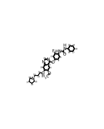 COc1cc2c(Oc3ccc(NC(=O)Nc4ccccc4)c(F)c3)ncnc2cc1OCCCN1CCCC1